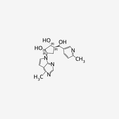 Cc1ccc(C(O)[C@H]2C[C@@H](n3ccc4c(C)ncnc43)[C@H](O)[C@@H]2O)cn1